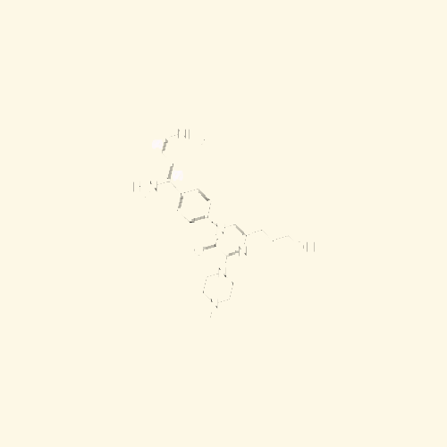 CN1CCN(c2nc(CCCO)cn(-c3ccc(/C(N)=C/C=C\N)cc3)c2=O)CC1